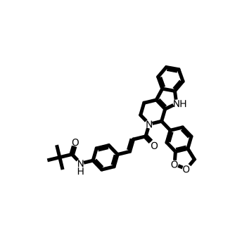 CC(C)(C)C(=O)Nc1ccc(/C=C/C(=O)N2CCc3c([nH]c4ccccc34)C2c2ccc3c(c2)OOC3)cc1